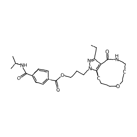 CCc1nn(CCCOC(=O)c2ccc(C(=O)NC(C)C)cc2)c2c1C(=O)NCCCOCCC2